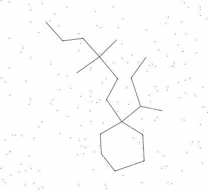 CCCC(C)(C)CCC1(C(C)CC)CCCCC1